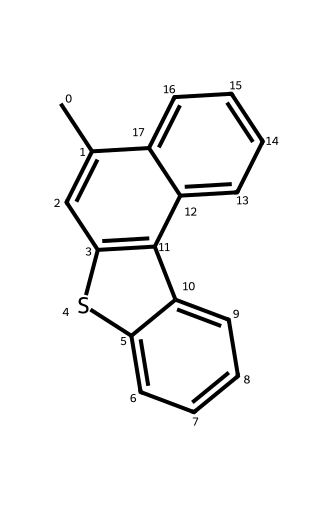 Cc1cc2sc3ccccc3c2c2ccccc12